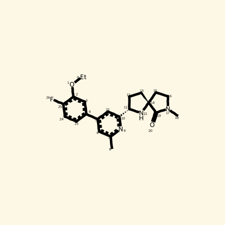 CCOc1cc(-c2cc(C)nc([C@@H]3CC[C@]4(CCN(C)C4=O)N3)c2)ccc1F